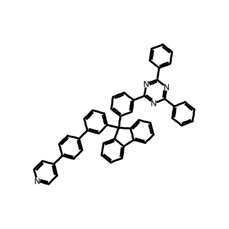 c1ccc(-c2nc(-c3ccccc3)nc(-c3cccc(C4(c5cccc(-c6ccc(-c7ccncc7)cc6)c5)c5ccccc5-c5ccccc54)c3)n2)cc1